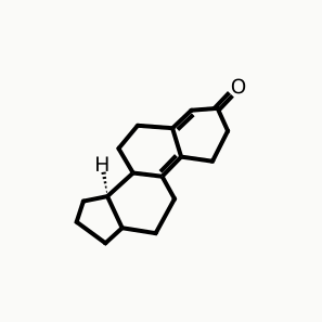 O=C1C=C2CCC3C(=C2CC1)CCC1CCC[C@H]13